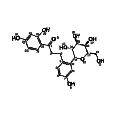 O=C(CCc1ccc(O)cc1C1O[C@H](CO)[C@H](O)[C@H](O)[C@H]1O)c1ccc(O)cc1O